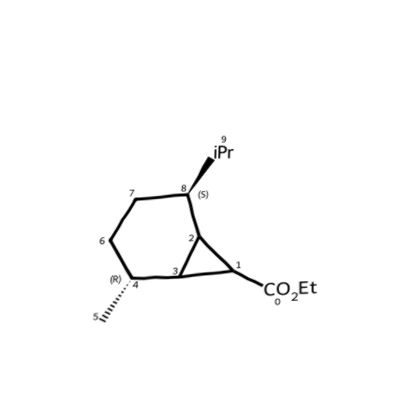 CCOC(=O)C1C2C1[C@H](C)CC[C@H]2C(C)C